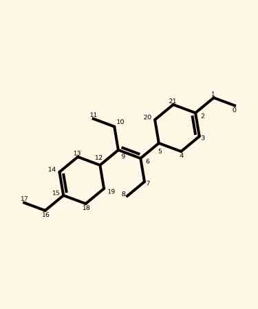 CCC1=CCC(/C(CC)=C(\CC)C2CC=C(CC)CC2)CC1